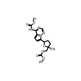 CC(C)OC(=O)Nc1ncnn2c(C3CCC(C#N)(COC(=O)OC(C)C)O3)ccc12